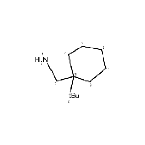 CC(C)(C)C1(CN)CCCCC1